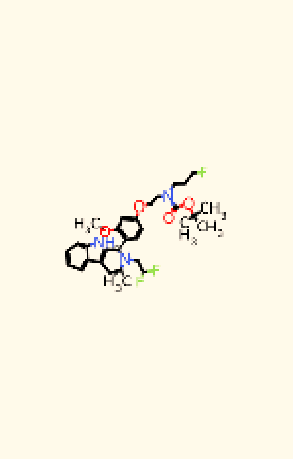 COc1cc(OCCN(CCCF)C(=O)OC(C)(C)C)ccc1[C@@H]1c2[nH]c3ccccc3c2C[C@@H](C)N1CC(F)F